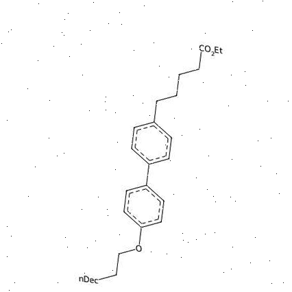 CCCCCCCCCCCCOc1ccc(-c2ccc(CCCCC(=O)OCC)cc2)cc1